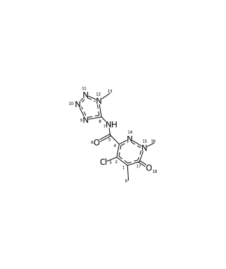 Cc1c(Cl)c(C(=O)Nc2nnnn2C)nn(C)c1=O